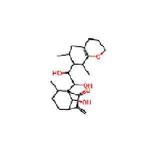 C=C1C(=O)C2(C(O)C(O)C3C(C)CC4=C(OCCC4)C3C)C(C)CCC1C2O